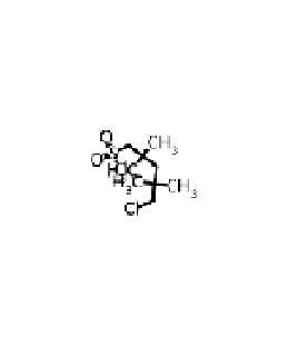 CC(C)(CCl)CC(C)(C)CS(=O)(=O)Cl